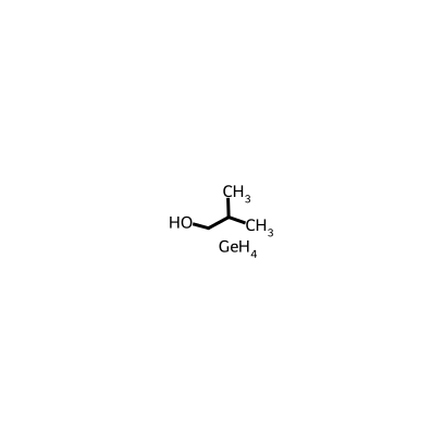 CC(C)CO.[GeH4]